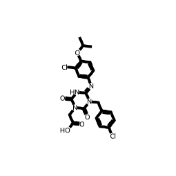 CC(C)Oc1ccc(/N=c2\[nH]c(=O)n(CC(=O)O)c(=O)n2Cc2ccc(Cl)cc2)cc1Cl